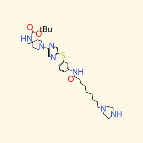 CC1(NC(=O)OC(C)(C)C)CCN(c2cnc(Sc3cccc(NC(=O)CCCCCCCCN4CCNCC4)c3)cn2)CC1